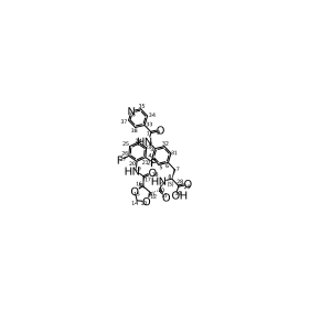 O=C(Nc1ccc(C[C@H](NC(=O)[C@@H]2OCO[C@H]2C(=O)Nc2c(F)cccc2F)C(=O)O)cc1)c1ccncc1